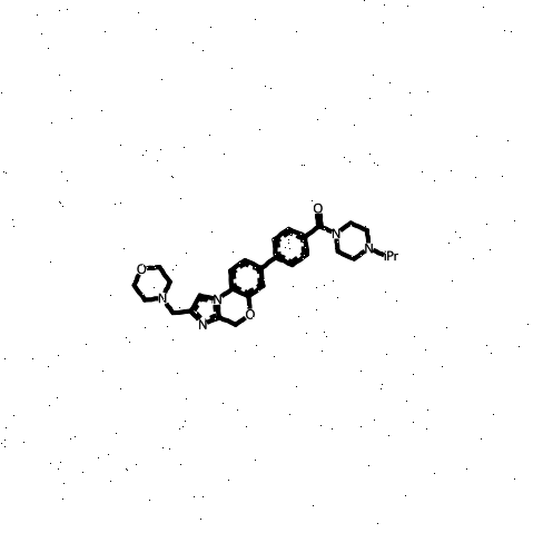 CC(C)N1CCN(C(=O)c2ccc(-c3ccc4c(c3)OCc3nc(CN5CCOCC5)cn3-4)cc2)CC1